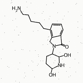 NCCCCCc1cccc2c1CN(C1CCC(O)NC1O)C2=O